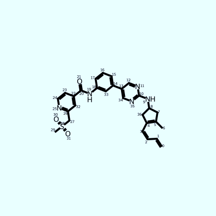 C=C/C=C\C1=C(C)CC(Nc2ncc(-c3cccc(NC(=O)c4ccnc(CS(C)(=O)=O)c4)c3)cn2)C1